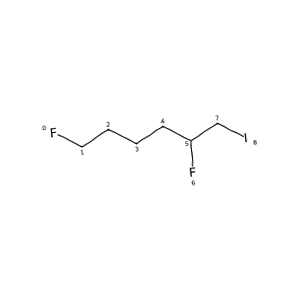 FCCCCC(F)CI